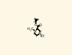 CCN1CCN(C)C(C(=O)OC2CC2)C1